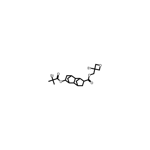 CCC1(COC(=O)C2CC3CC2C2C4CC(OC(=O)C(C)(C)CC)C(C4)C32)COC1